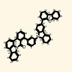 O=c1c2c(-c3cccc(-n4c5ccccc5c5cc(-c6cccc7c6oc6ccccc67)ccc54)c3)cccc2c2cccc3c4ccccc4n1c23